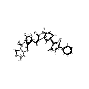 Cc1nc(-c2ccccc2)oc1-c1ccc2c(c1)/C(=C/c1[nH]c(C)c(C(=O)N3CCN(C)CC3)c1C)C(=O)N2